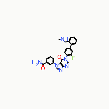 CNCc1ccccc1-c1ccc(-n2cnc3ncn(-c4cccc(C(N)=O)c4)c3c2=O)c(F)c1